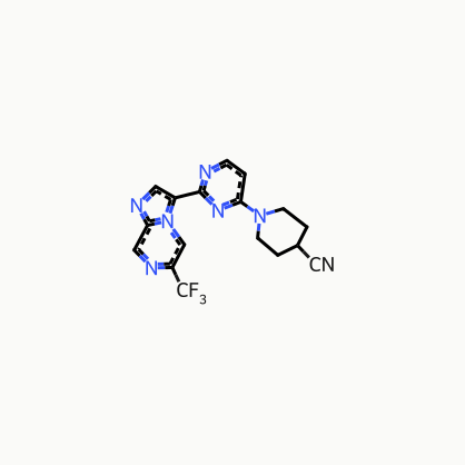 N#CC1CCN(c2ccnc(-c3cnc4cnc(C(F)(F)F)cn34)n2)CC1